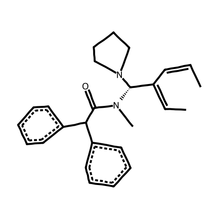 C/C=C\C(=C/C)[C@@H](N1CCCC1)N(C)C(=O)C(c1ccccc1)c1ccccc1